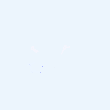 O=CC1NN=NN1c1cccc(OC(F)(F)F)c1